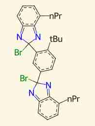 CCCc1cccc2c1=NC(Br)(c1ccc(C(C)(C)C)c(C3(Br)N=c4cccc(CCC)c4=N3)c1)N=2